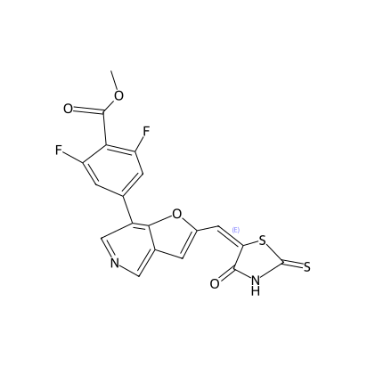 COC(=O)c1c(F)cc(-c2cncc3cc(/C=C4/SC(=S)NC4=O)oc23)cc1F